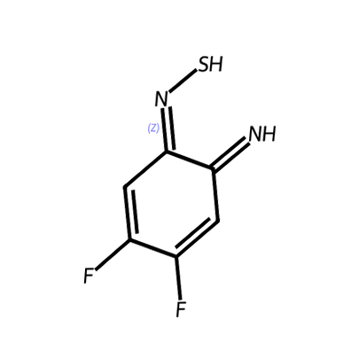 N=C1C=C(F)C(F)=C/C1=N/S